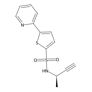 C#C[C@@H](C)NS(=O)(=O)c1ccc(-c2ccccn2)s1